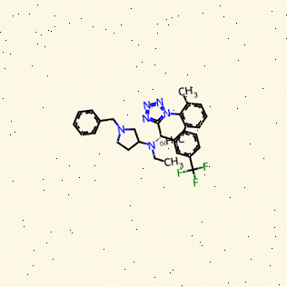 CCN(C1CCN(Cc2ccccc2)C1)[C@@H](c1cccc(C(F)(F)F)c1)c1nnnn1-c1c(C)cccc1C